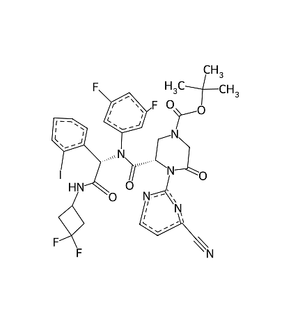 CC(C)(C)OC(=O)N1CC(=O)N(c2nccc(C#N)n2)[C@H](C(=O)N(c2cc(F)cc(F)c2)[C@H](C(=O)NC2CC(F)(F)C2)c2ccccc2I)C1